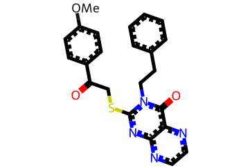 COc1ccc(C(=O)CSc2nc3nccnc3c(=O)n2CCc2ccccc2)cc1